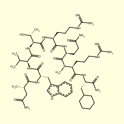 CC(C)[C@H](NC(=O)[C@H](Cc1c[nH]c2ccccc12)NC(=O)[C@@H](C)CC(N)=O)C(=O)N[C@H](C(=O)N[C@@H](CCCNC(=N)N)C(=O)N[C@@H](CCC(N)=O)C(=O)N(C)[C@@H](CCCNC(=N)N)C(=O)N[C@@H](CC1CCCCC1)C(N)=O)[C@@H](C)O